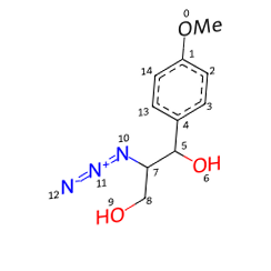 COc1ccc(C(O)C(CO)N=[N+]=[N-])cc1